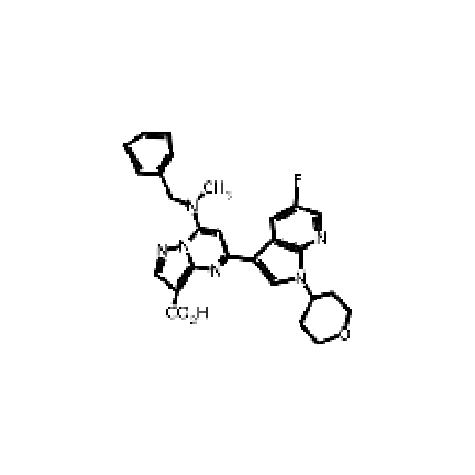 CN(Cc1ccccc1)c1cc(-c2cn(C3CCOCC3)c3ncc(F)cc23)nc2c(C(=O)O)cnn12